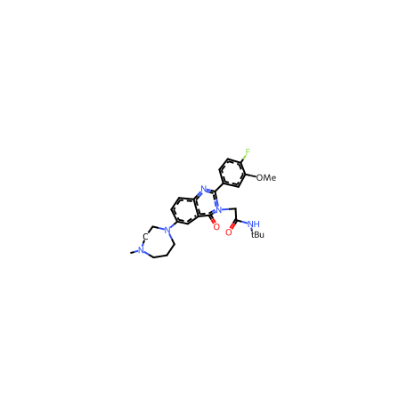 COc1cc(-c2nc3ccc(N4CCCN(C)CC4)cc3c(=O)n2CC(=O)NC(C)(C)C)ccc1F